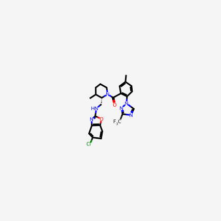 Cc1ccc(-n2cnc(C(F)(F)F)n2)c(C(=O)N2CCCC(C)[C@H]2CNc2nc3cc(Cl)ccc3o2)c1